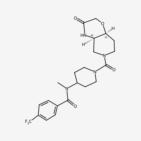 CN(C(=O)c1ccc(C(F)(F)F)cc1)C1CCN(C(=O)N2CC[C@@H]3OCC(=O)N[C@@H]3C2)CC1